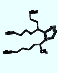 CCCCCCCCCCCCCCC(C)[n+]1cc[nH]c1C(CCCCCCCCCCCC)CCCCCCCCCCCCC